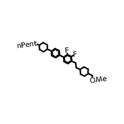 CCCCCC1CCC(c2ccc(-c3ccc(CCC4CCC(COC)CC4)c(F)c3F)cc2)CC1